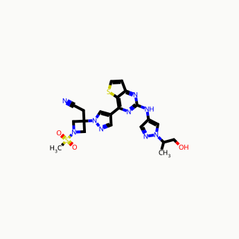 CC(CO)n1cc(Nc2nc(-c3cnn(C4(CC#N)CN(S(C)(=O)=O)C4)c3)c3sccc3n2)cn1